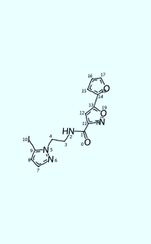 O=C(NCCn1nccc1I)c1cc(-c2ccco2)on1